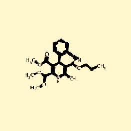 CCCOC(=O)C1=C(C)NC(C(OC)OC)=C(C(=O)OC)C1c1ccccc1C#N